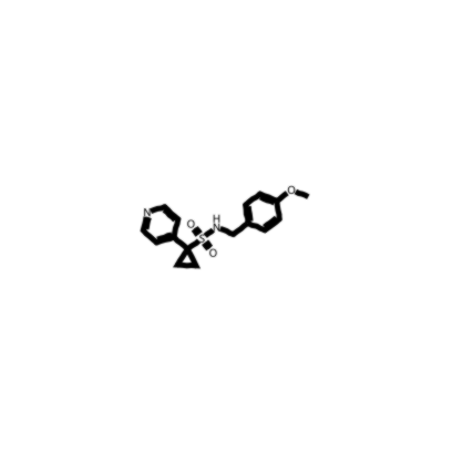 COc1ccc(CNS(=O)(=O)C2(c3ccncc3)CC2)cc1